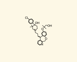 CC(C)(CO)Oc1ccc2c(c1)C(=CCCN1CCC(O)(c3ccc(Cl)cc3)C(C)(C)C1)c1cccnc1CO2